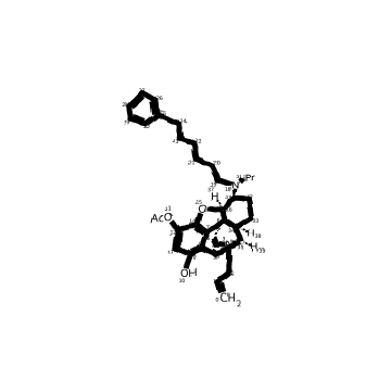 C=CCN1CC[C@]23c4c5c(O)cc(OC(C)=O)c4O[C@H]2[C@@H](N(CCCCCCc2ccccc2)C(C)C)CC[C@H]3[C@H]1C5